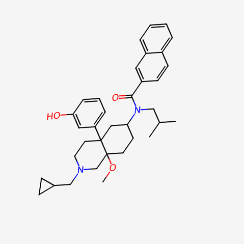 COC12CCC(N(CC(C)C)C(=O)c3ccc4ccccc4c3)CC1(c1cccc(O)c1)CCN(CC1CC1)C2